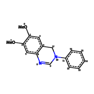 COc1cc2c(cc1OC)N=CN(c1ccccc1)C2